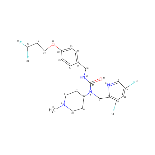 CN1CCC(N(Cc2ncc(F)cc2F)C(=O)NCc2ccc(OCCC(F)F)cc2)CC1